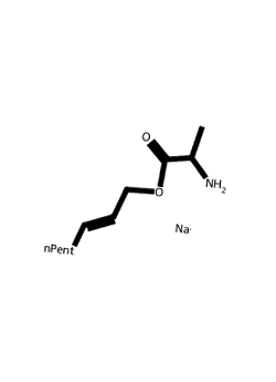 CCCCCC=CCOC(=O)C(C)N.[Na]